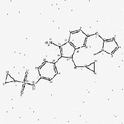 Cn1ccnc1Oc1ccc2c(N)c(-c3ccc(NS(=O)(=O)C4CC4)cc3)n(CC3CC3)c2c1